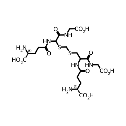 N[C@@H](CCC(=O)NC(CSCSC(NC(=O)CC[C@H](N)C(=O)O)C(=O)NCC(=O)O)C(=O)NCC(=O)O)C(=O)O